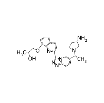 C[C@@H](O)COc1cccc2ccc(-c3nnc4ccc([C@H](C)N5CC[C@H](N)C5)cn34)nc12